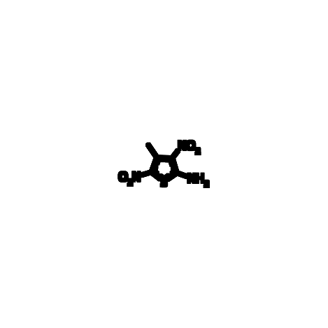 Cc1c([N+](=O)[O-])sc(N)c1[N+](=O)[O-]